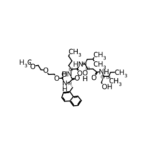 CCCC[C@H](NC(=O)[C@H](Cc1cccc2ccccc12)NC(=O)OCCOCCOC)C(=O)N[C@@H](CC(C)C)[C@@H](O)CC(=O)N[C@H](CO)[C@@H](C)CC